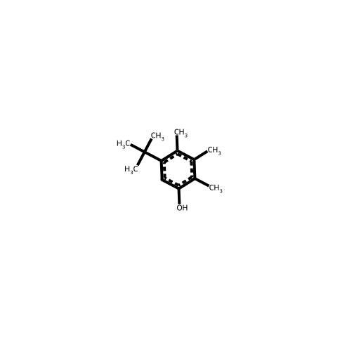 Cc1c(O)cc(C(C)(C)C)c(C)c1C